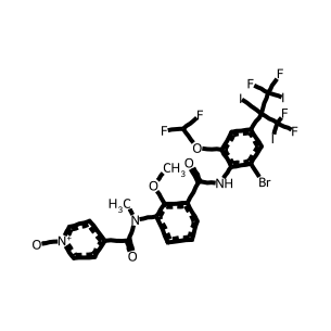 COc1c(C(=O)Nc2c(Br)cc(C(I)(C(F)(F)I)C(F)(F)I)cc2OC(F)F)cccc1N(C)C(=O)c1cc[n+]([O-])cc1